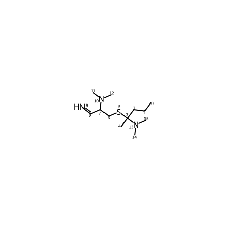 CCCC(C)(SCC(C=N)N(C)C)N(C)C